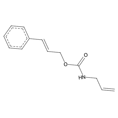 C=CCNC(=O)OCC=Cc1ccccc1